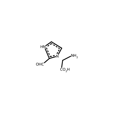 NCC(=O)O.O=Cc1ncc[nH]1